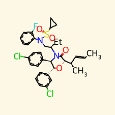 C/C=C/[C@@H](C)[C@@H]1O[C@H](c2cccc(Cl)c2)[C@@H](c2ccc(Cl)cc2)N([C@H](CC)CN(c2ccccc2F)S(=O)(=O)C2CC2)C1=O